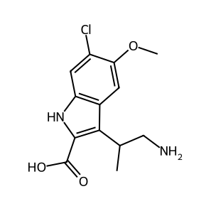 COc1cc2c(C(C)CN)c(C(=O)O)[nH]c2cc1Cl